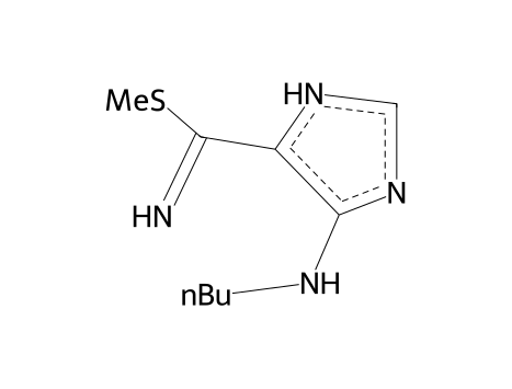 CCCCNc1nc[nH]c1C(=N)SC